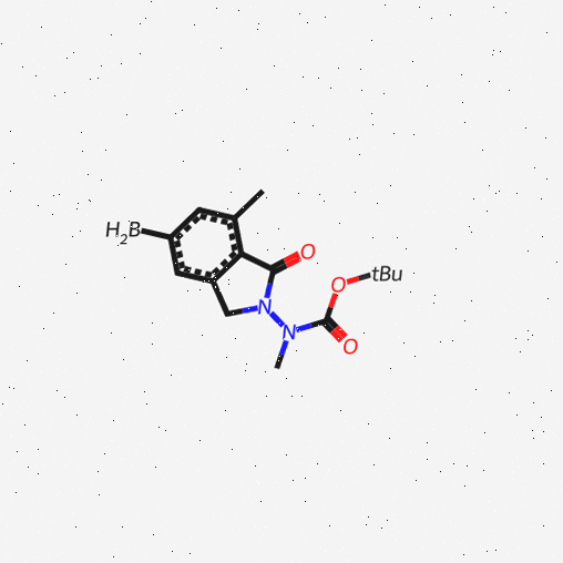 Bc1cc(C)c2c(c1)CN(N(C)C(=O)OC(C)(C)C)C2=O